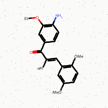 CCC/C(=C\c1cc(OC)ccc1OC)C(=O)c1ccc(N)c(OCC)c1